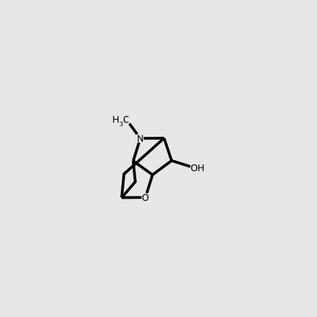 CN1C2CC3CC1C(O3)C2O